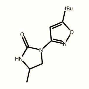 CC1CN(c2cc(C(C)(C)C)on2)C(=O)N1